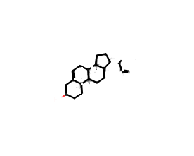 C=CC(C)[C@H]1CC[C@H]2[C@@H]3CC=C4CC(O)CC[C@]4(C)[C@H]3CC[C@]12C